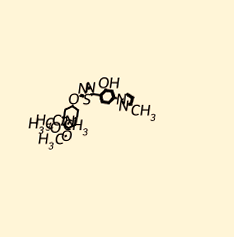 COC1CC2CC(Oc3nnc(-c4ccc(-n5ccc(C)n5)cc4O)s3)CC(C)(C1OC)N2C